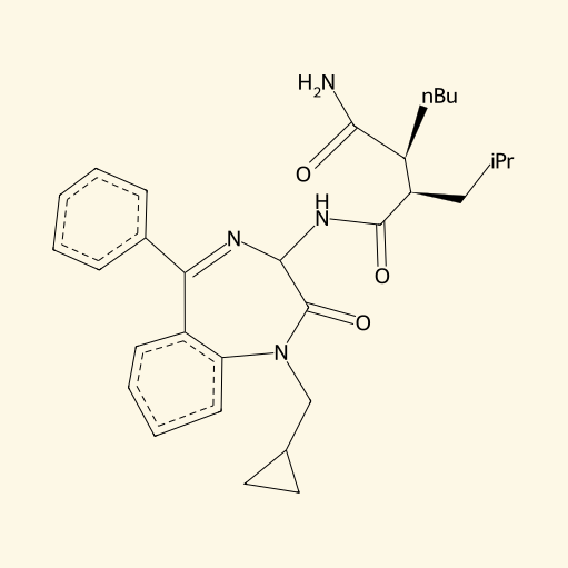 CCCC[C@H](C(N)=O)[C@@H](CC(C)C)C(=O)NC1N=C(c2ccccc2)c2ccccc2N(CC2CC2)C1=O